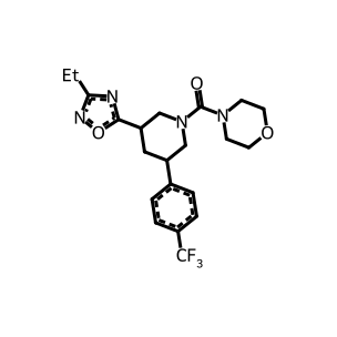 CCc1noc(C2CC(c3ccc(C(F)(F)F)cc3)CN(C(=O)N3CCOCC3)C2)n1